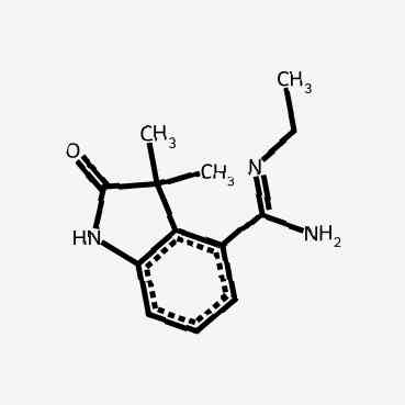 CCN=C(N)c1cccc2c1C(C)(C)C(=O)N2